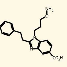 NOCCCn1c(CCc2ccccc2)nc2cc(C(=O)O)ccc21